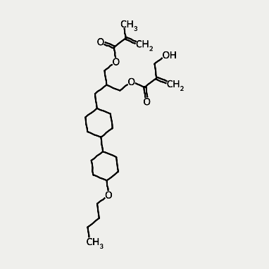 C=C(C)C(=O)OCC(COC(=O)C(=C)CO)CC1CCC(C2CCC(OCCCC)CC2)CC1